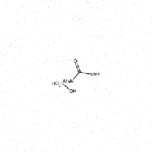 CNC(=O)NC.O=S(=O)(O)O